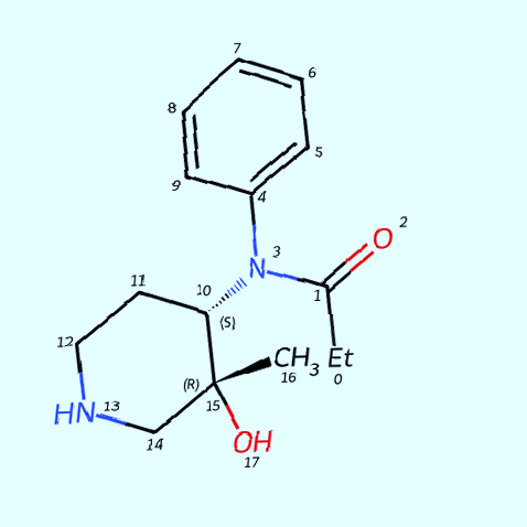 CCC(=O)N(c1ccccc1)[C@H]1CCNC[C@@]1(C)O